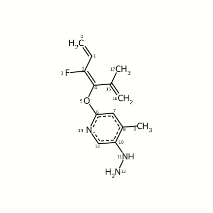 C=C/C(F)=C(/Oc1cc(C)c(NN)cn1)C(=C)C